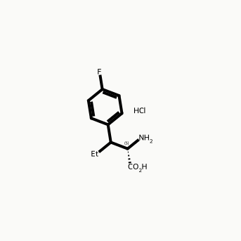 CCC(c1ccc(F)cc1)[C@H](N)C(=O)O.Cl